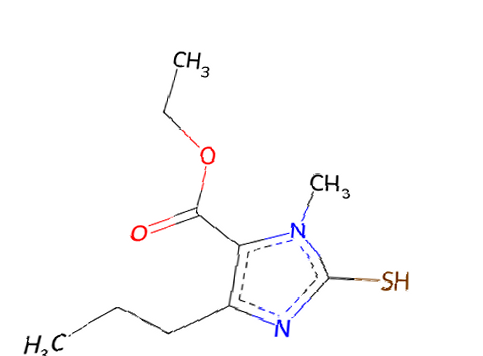 CCCc1nc(S)n(C)c1C(=O)OCC